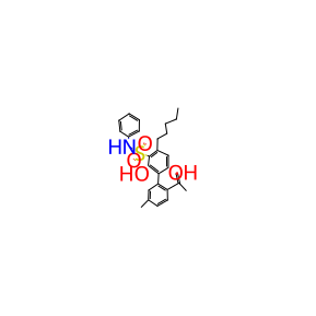 C=C(C)c1ccc(C)cc1-c1c(O)cc(CCCCC)c(S(=O)(=O)Nc2ccccc2)c1O